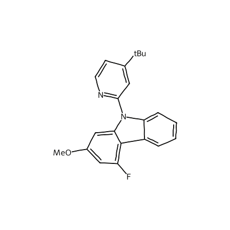 COc1cc(F)c2c3ccccc3n(-c3cc(C(C)(C)C)ccn3)c2c1